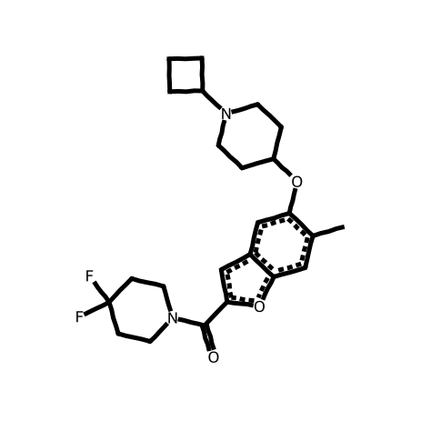 Cc1cc2oc(C(=O)N3CCC(F)(F)CC3)cc2cc1OC1CCN(C2CCC2)CC1